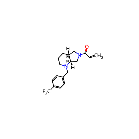 C=CC(=O)N1C[C@H]2CCCN(Cc3ccc(C(F)(F)F)cc3)[C@H]2C1